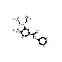 CCN(CC)c1cc(C(=O)Oc2ccccc2)ccc1C